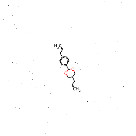 C=CCc1ccc(C2OCC(CC=C)CO2)cc1